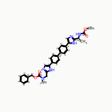 CCCN(Cc1ncc(-c2ccc(-c3ccc(-c4cnc([C@H](C)NC(=O)OC(C)(C)C)[nH]4)cc3)cc2)[nH]1)C(=O)OCc1ccccc1